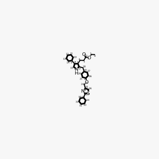 CCOC(=O)CCc1c(-c2ccccc2)c[nH]c1Cc1ccc(OCc2csc(-c3ccccc3)n2)cc1